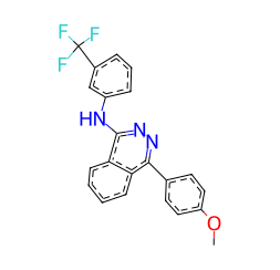 COc1ccc(-c2nnc(Nc3cccc(C(F)(F)F)c3)c3ccccc23)cc1